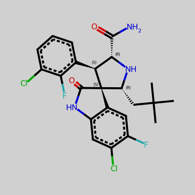 CC(C)(C)C[C@H]1N[C@@H](C(N)=O)[C@H](c2cccc(Cl)c2F)[C@@]12C(=O)Nc1cc(Cl)c(F)cc12